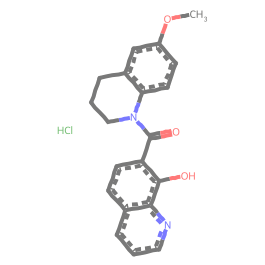 COc1ccc2c(c1)CCCN2C(=O)c1ccc2cccnc2c1O.Cl